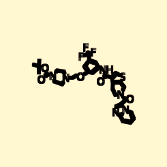 CC(C)(C)OC(=O)N1CCN(CCOc2cc(NC(=O)c3csc4c3CCN(C(=O)c3cnc5ccccn35)C4)cc(C(F)(F)F)c2)CC1